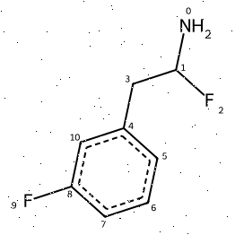 NC(F)Cc1cccc(F)c1